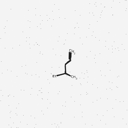 C=[C]CC(C)CC